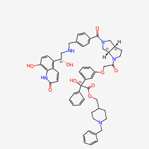 O=C(c1ccc(CNC[C@H](O)c2ccc(O)c3[nH]c(=O)ccc23)cc1)N1C[C@@H]2CCN(C(=O)COc3cccc([C@](O)(C(=O)OCC4CCN(Cc5ccccc5)CC4)c4ccccc4)c3)[C@@H]2C1